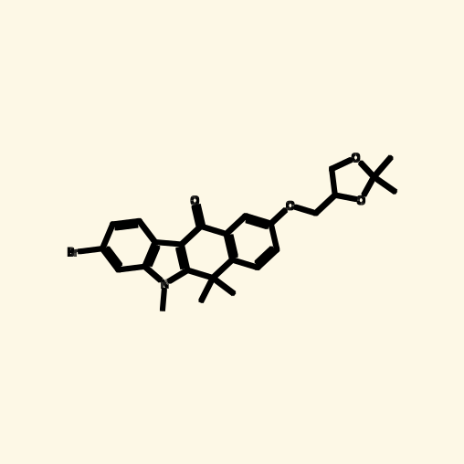 Cn1c2c(c3ccc(Br)cc31)C(=O)c1cc(OCC3COC(C)(C)O3)ccc1C2(C)C